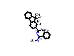 CCC(C)/N=C(\N=C(/NC)c1ccc2c(c1)C(C)(C)c1ccccc1-2)c1ccccc1